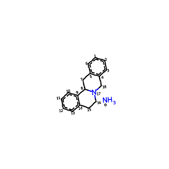 N.c1ccc2c(c1)CC1c3ccccc3CCN1C2